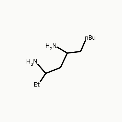 [CH2]CC(N)CC(N)CCCCC